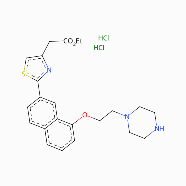 CCOC(=O)Cc1csc(-c2ccc3cccc(OCCN4CCNCC4)c3c2)n1.Cl.Cl